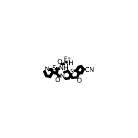 CCNC(=O)Nc1sc2ncccc2c1C(=O)N1CCC2(CC1)CC(=O)c1cc(C#N)ccc1S2